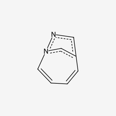 C1=Cc2cnn(c2)C=C1